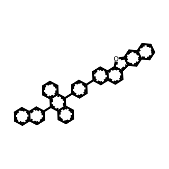 c1ccc2cc(-c3c4ccccc4c(-c4ccc(-c5ccc6c(ccc7c8cc9ccccc9cc8oc67)c5)cc4)c4ccccc34)ccc2c1